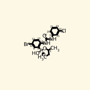 CCC(C)OP(=O)(O)c1cc(Br)ccc1NC(=O)Nc1cccc(Cl)c1